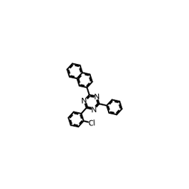 Clc1ccccc1-c1nc(-c2ccccc2)nc(-c2ccc3ccccc3c2)n1